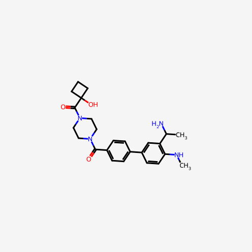 CNc1ccc(-c2ccc(C(=O)N3CCN(C(=O)C4(O)CCC4)CC3)cc2)cc1C(C)N